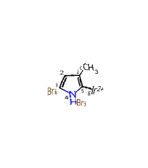 Cc1cc[nH][c]1[Ir+2].[Br-].[Br-]